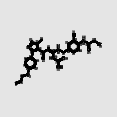 C=CCOc1ccc(-c2nsc(C)c2C(=O)/N=C(/NCc2ccc(NC(=O)CBr)c(Cl)c2)NC(=O)O)cc1